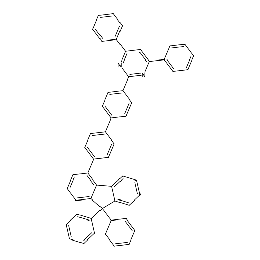 C1=CCC(C2(c3ccccc3)c3ccccc3-c3c(-c4ccc(-c5ccc(-c6nc(-c7ccccc7)cc(-c7ccccc7)n6)cc5)cc4)cccc32)C=C1